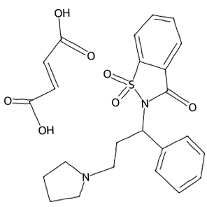 O=C(O)C=CC(=O)O.O=C1c2ccccc2S(=O)(=O)N1C(CCN1CCCC1)c1ccccc1